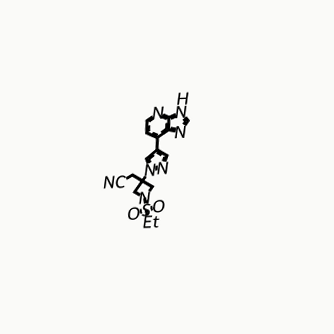 CCS(=O)(=O)N1CC(CC#N)(n2cc(-c3ccnc4[nH]cnc34)cn2)C1